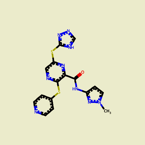 Cn1ccc(NC(=O)c2nc(Sc3nnc[nH]3)cnc2Sc2ccncc2)n1